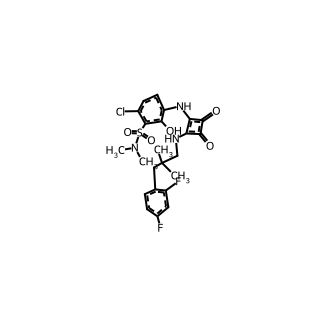 CN(C)S(=O)(=O)c1c(Cl)ccc(Nc2c(NCC(C)(C)Cc3ccc(F)cc3F)c(=O)c2=O)c1O